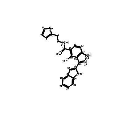 O=C(NCCc1cccs1)c1ccc2[nH]nc(-c3cc4ccccc4s3)c2c1F